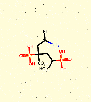 CCC(N)CC(CC(C(=O)O)P(=O)(O)O)(C(=O)O)P(=O)(O)O